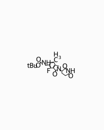 Cc1cc(CNC(=O)OC(C)(C)C)c(F)c2c1CN(C1CCC(=O)NC1=O)C2=O